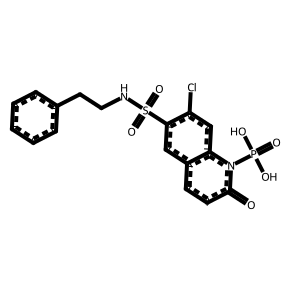 O=c1[c]cc2cc(S(=O)(=O)NCCc3ccccc3)c(Cl)cc2n1P(=O)(O)O